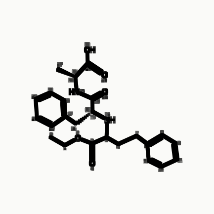 CCOC(=O)C(CCc1ccccc1)N[C@H](Cc1ccccc1)C(=O)N[C@@H](C)C(=O)O